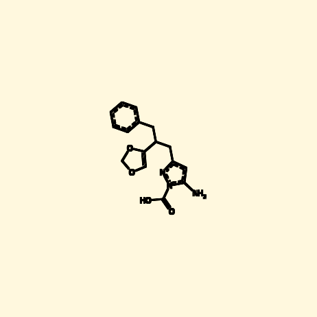 Nc1cc(CC(Cc2ccccc2)C2=COCO2)nn1C(=O)O